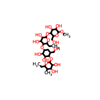 CCC1OC(OC2C(CO)CC(OC3C(CC)OC(OC4C(CO)OC(OC)C(O)C4O)C(O)C3O)C(O)C2O)C(O)C(O)C1C